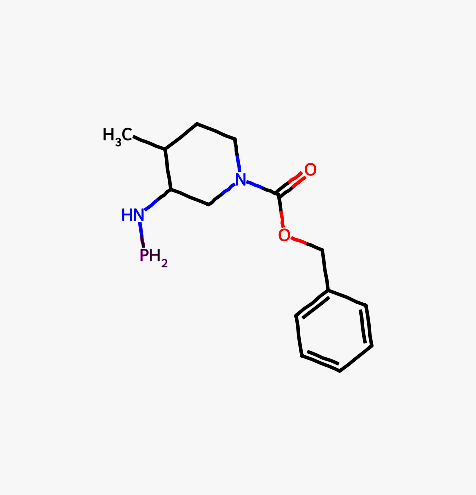 CC1CCN(C(=O)OCc2ccccc2)CC1NP